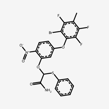 Cc1c(F)c(F)c(Oc2ccc([N+](=O)[O-])c(OC(Sc3ccccc3)C(N)=O)c2)c(Br)c1F